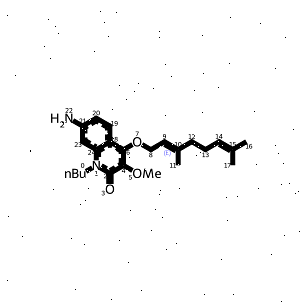 CCCCn1c(=O)c(OC)c(OC/C=C(\C)CCC=C(C)C)c2ccc(N)cc21